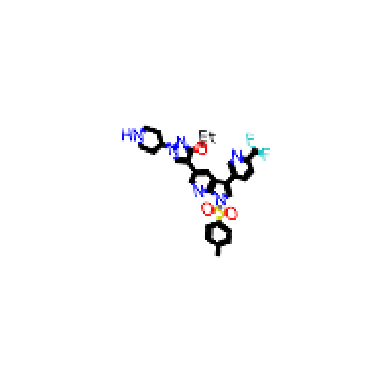 CCOc1nn(C2CCNCC2)cc1-c1cnc2c(c1)c(-c1ccc(C(F)F)nc1)cn2S(=O)(=O)c1ccc(C)cc1